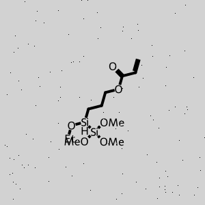 C=CC(=O)OCCC[SiH](OCC)[Si](OC)(OC)OC